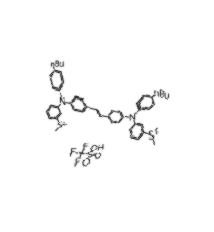 CCCCc1ccc(N(c2ccc(C=Cc3ccc(N(c4ccc(CCCC)cc4)c4cccc([S+](C)C)c4)cc3)cc2)c2cccc([S+](C)C)c2)cc1.O=S(=O)(O)C(F)(F)F